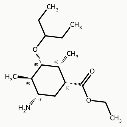 CCOC(=O)[C@@H]1C[C@H](N)[C@@H](C)[C@H](OC(CC)CC)[C@@H]1C